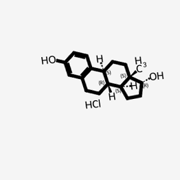 C[C@]12CC[C@@H]3c4ccc(O)cc4CC[C@H]3[C@@H]1CC[C@H]2O.Cl